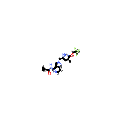 Cc1cc(Cn2cc3c(NC(=O)C4CC4)nccc3n2)nnc1OCC(F)(F)F